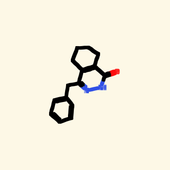 O=c1[nH]nc(Cc2ccccc2)c2c1CCCC2